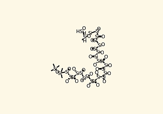 C[SiH](O[SiH2][Si](=O)[Si](=O)[Si](=O)[Si](=O)[Si](=O)[Si](=O)[Si](=O)[Si](=O)[Si](=O)[Si](=O)[Si](=O)[Si](=O)[Si](=O)[Si](=O)[Si](=O)[Si](=O)[Si](=O)[Si](=O)[Si](=O)[Si](=O)[Si](=O)[Si](=O)[Si](=O)[Si](C)(C)O[Si](C)(C)C)[SiH]=O